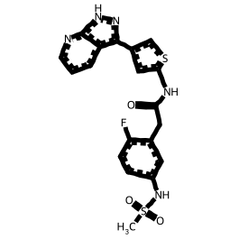 CS(=O)(=O)Nc1ccc(F)c(CC(=O)Nc2cc(-c3n[nH]c4ncccc34)cs2)c1